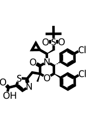 CC(C)(C)S(=O)(=O)C[C@H](C1CC1)N1C(=O)[C@@](C)(Cc2ncc(C(=O)O)s2)O[C@H](c2cccc(Cl)c2)[C@H]1c1ccc(Cl)cc1